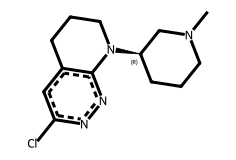 CN1CCC[C@@H](N2CCCc3cc(Cl)nnc32)C1